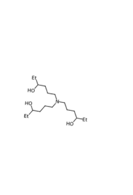 CCC(O)CCCN(CCCC(O)CC)CCCC(O)CC